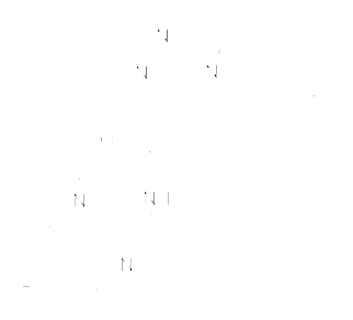 CC(C)C1CCc2c1cc(C(=O)Nc1ncc(F)cn1)c1nncn21